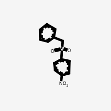 O=[N+]([O-])c1ccc(S(=O)(=O)Cc2ccccc2)cc1